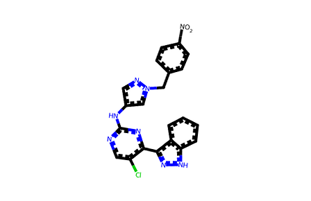 O=[N+]([O-])c1ccc(Cn2cc(Nc3ncc(Cl)c(-c4n[nH]c5ccccc45)n3)cn2)cc1